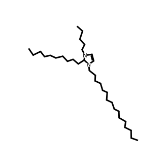 CCCCCCCCCCCCCCCCN1C=CN(CCCCC)C1CCCCCCCCCC